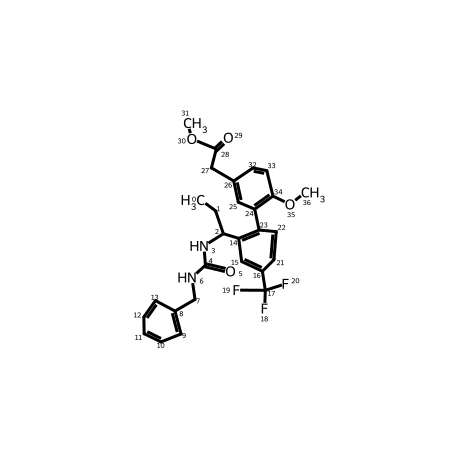 CCC(NC(=O)NCc1ccccc1)c1cc(C(F)(F)F)ccc1-c1cc(CC(=O)OC)ccc1OC